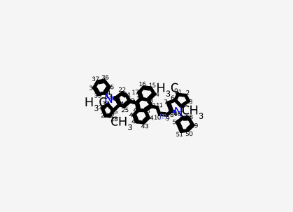 CC1CCC2(C)C1C=C(/C=C\Cc1c3ccccc3c(-c3ccc4c(c3)C3C(C)CCC3(C)N4c3ccccc3)c3ccccc13)N2c1ccccc1